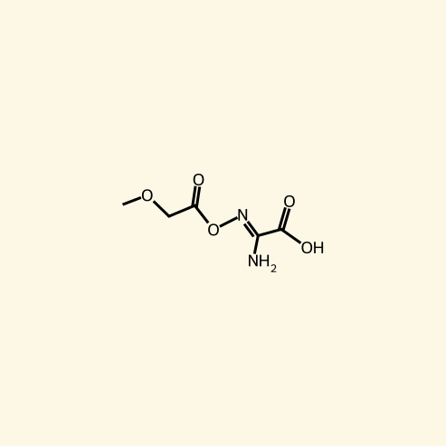 COCC(=O)O/N=C(\N)C(=O)O